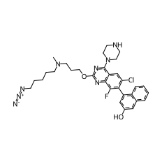 CN(CCCCCN=[N+]=[N-])CCCOc1nc(N2CCNCC2)c2cc(Cl)c(-c3cc(O)cc4ccccc34)c(F)c2n1